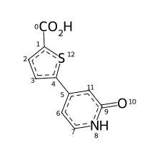 O=C(O)c1ccc(-c2cc[nH]c(=O)c2)s1